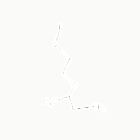 CCC(C)OCCSF